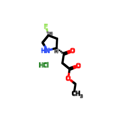 CCOC(=O)CC(=O)[C@H]1C[C@@H](F)CN1.Cl